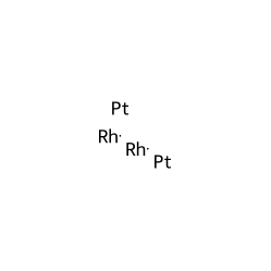 [Pt].[Pt].[Rh].[Rh]